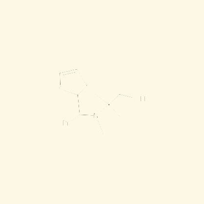 CC(C)C(c1cccs1)N(C)C(C)(C)CO